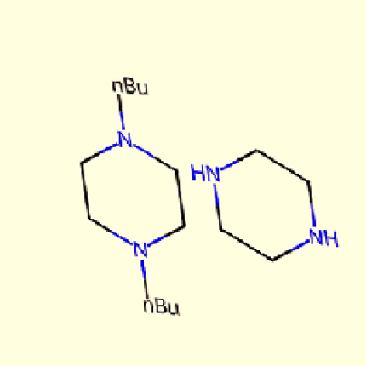 C1CNCCN1.CCCCN1CCN(CCCC)CC1